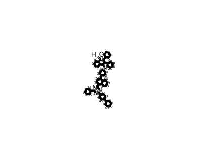 CC1CC=CC=C1c1nc2ccccc2c2c1c1ccccc1n2-c1ccc(-c2ccc(-c3nc(-c4ccccc4)nc(-c4ccc(-c5ccccc5)cc4)n3)c3ccccc23)cc1